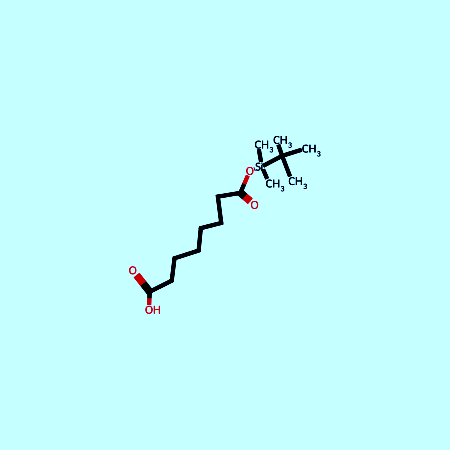 CC(C)(C)[Si](C)(C)OC(=O)CCCCCCC(=O)O